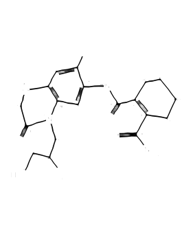 CCC(C)CN1C(=O)COc2cc(F)c(NC(=O)C3=C(C(N)=O)CCCC3)cc21